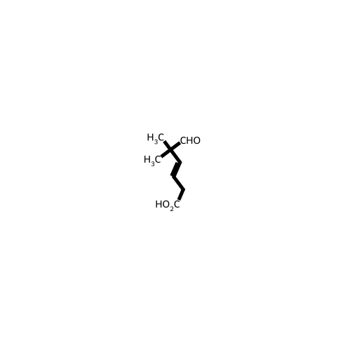 CC(C)(C=O)C=CCC(=O)O